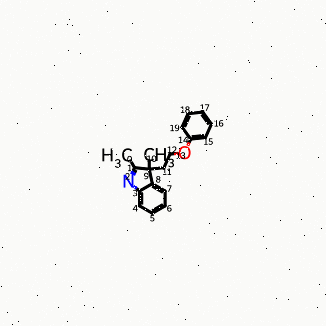 CC1=Nc2ccccc2C1(C)CCOc1ccccc1